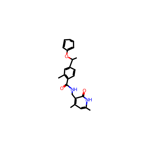 Cc1cc(C)c(CNC(=O)c2ccc(C(C)Oc3ccccc3)cc2C)c(=O)[nH]1